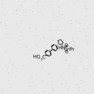 CC(C)S(=O)(=O)N[C@H]1CCC[C@H]1c1ccc(-c2ccc(C(=O)O)cc2)cc1